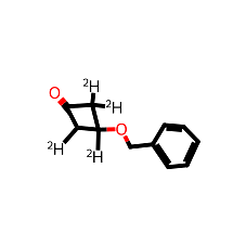 [2H]C1C(=O)C([2H])([2H])C1([2H])OCc1ccccc1